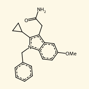 COc1ccc2c(c1)c(CC(N)=O)c(C1CC1)n2Cc1ccccc1